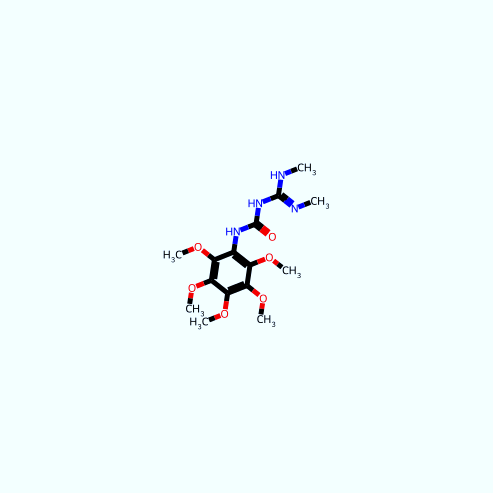 CN=C(NC)NC(=O)Nc1c(OC)c(OC)c(OC)c(OC)c1OC